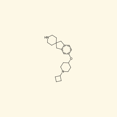 c1cc2c(cc1OC1CCN(C3CCC3)CC1)CC1(CCNCC1)C2